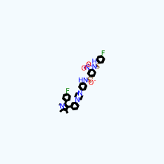 Cc1c(-c2cccc(N3CCN(c4ccc(N[S+]([O-])C5=CCC(NSc6ccc(F)cc6)C([N+](=O)[O-])=C5)cc4)CC3)c2)c(-c2ccc(F)cc2)n(C)c1C